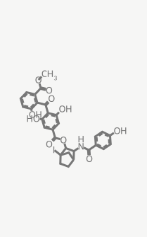 COC(=O)c1cccc(O)c1C(=O)c1c(O)cc(C(=O)OC2C(NC(=O)c3ccc(O)cc3)C3CCC2(I)C3)cc1O